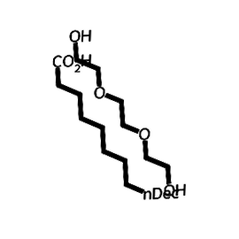 CCCCCCCCCCCCCCCCCC(=O)O.OCCOCCOCCO